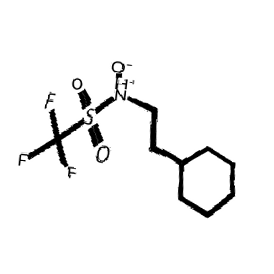 O=S(=O)([NH+]([O-])CCC1CCCCC1)C(F)(F)F